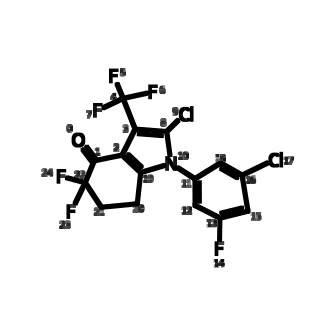 O=C1c2c(C(F)(F)F)c(Cl)n(-c3cc(F)cc(Cl)c3)c2CCC1(F)F